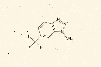 Nn1nnc2ccc(C(F)(F)F)cc21